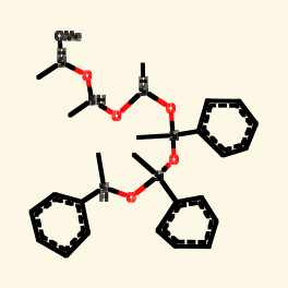 CO[SiH](C)O[SiH](C)O[SiH](C)O[Si](C)(O[Si](C)(O[SiH](C)c1ccccc1)c1ccccc1)c1ccccc1